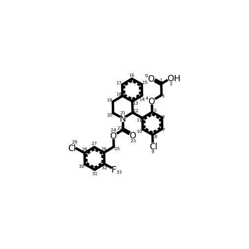 O=C(O)COc1ccc(Cl)cc1C1c2ccccc2CCN1C(=O)OCc1cc(Cl)ccc1F